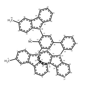 Cc1ccc2c(c1)c1ccccc1n2-c1cc(-c2ccccc2-n2c3ccncc3c3cnccc32)cc(-n2c3ccccc3c3cc(C)ccc32)c1C#N